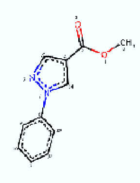 COC(=O)c1[c]nn(-c2ccccc2)c1